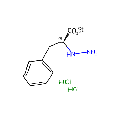 CCOC(=O)[C@H](Cc1ccccc1)NN.Cl.Cl